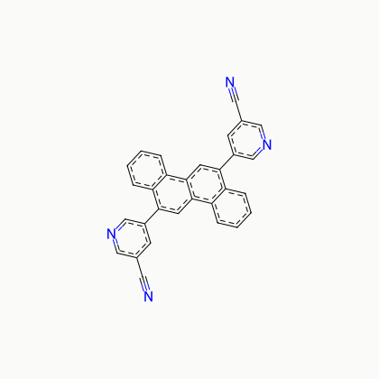 N#Cc1cncc(-c2cc3c4ccccc4c(-c4cncc(C#N)c4)cc3c3ccccc23)c1